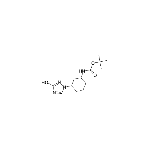 CC(C)(C)OC(=O)NC1CCCC(n2cnc(O)n2)C1